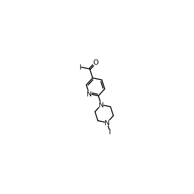 O=C(I)c1ccc(N2CCN(I)CC2)nc1